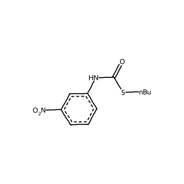 CCCCSC(=O)Nc1cccc([N+](=O)[O-])c1